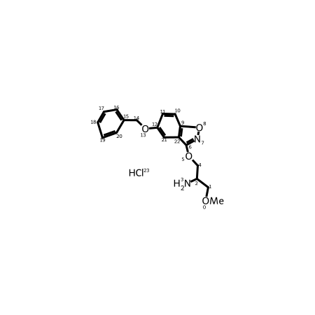 COCC(N)COc1noc2ccc(OCc3ccccc3)cc12.Cl